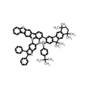 CC(C)(C)c1ccc(Nc2cc3c(cc2-c2ccc4c5cc6sc7ccccc7c6cc5n5c4c2Bc2cc4sc(-c6ccccc6)c(-c6ccccc6)c4cc2-5)-c2cc4c(cc2C3(C)C)C(C)(C)CCC4(C)C)cc1